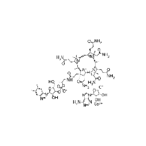 C/C1=C2/[N-][C@H]([C@H](CC(N)=O)[C@@]2(C)CCC(=O)NC[C@@H](C)OP(=O)([O-])O[C@H]2[C@@H](O)[C@@H](n3cnc4cc(C)c(C)cc43)O[C@@H]2CO)[C@]2(C)N=C(/C(C)=C3N=C(/C=C4N=C1[C@@H](CCC(N)=O)C\4(C)C)[C@@H](CCC(N)=O)[C@]\3(C)CC(N)=O)[C@@H](CCC(N)=O)[C@]2(C)CC(N)=O.[CH2-][C@H]1O[C@H](n2cnc3c(N)ncnc32)[C@@H](O)[C@H]1O.[Co+3]